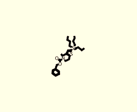 CCC[CH2][Sn]([CH2]CCC)([CH2]CCC)[c]1cc2c(s1)CCN(C(=O)OCc1ccccc1)C2C